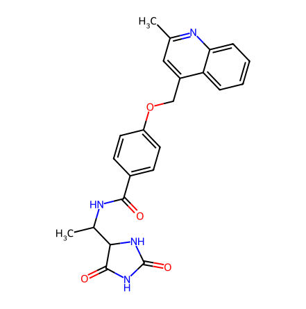 Cc1cc(COc2ccc(C(=O)NC(C)C3NC(=O)NC3=O)cc2)c2ccccc2n1